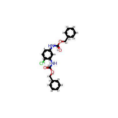 O=C(Nc1ccc(Cl)c(NC(=O)OCc2ccccc2)c1)OCc1ccccc1